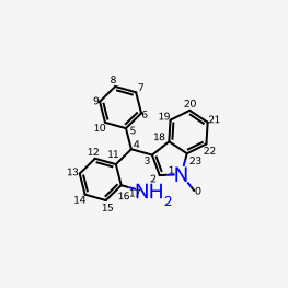 Cn1cc(C(c2ccccc2)c2ccccc2N)c2ccccc21